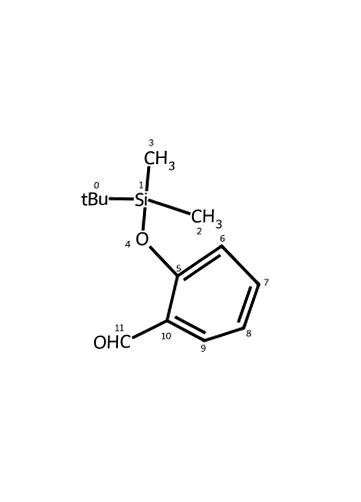 CC(C)(C)[Si](C)(C)Oc1ccccc1C=O